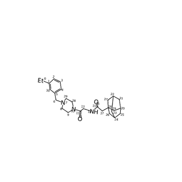 CCc1cccc(CN2CCN(C(=O)CNC(=O)CC34CC5CC(CC(C5)C3)C4)CC2)c1